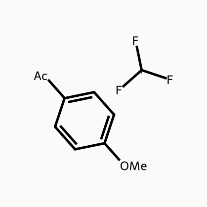 COc1ccc(C(C)=O)cc1.F[C](F)F